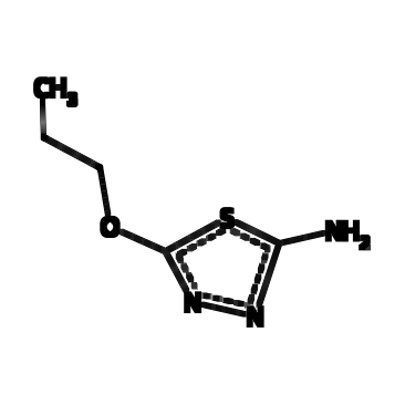 CCCOc1nnc(N)s1